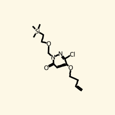 C=CCCOc1cc(=O)n(COCC[Si](C)(C)C)nc1Cl